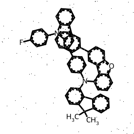 CC1(C)c2ccccc2-c2c(N(c3ccc(-c4ccccc4)cc3)c3cccc4oc5ccc(-c6ccc7c(c6)c6ccccc6n7-c6ccc(F)cc6)cc5c34)cccc21